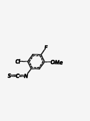 COc1cc(N=C=S)c(Cl)cc1F